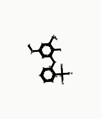 COc1cc(N)c(C)c(Cc2ccccc2C(F)(F)F)c1